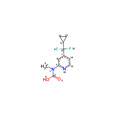 CN(C(=O)O)c1cc(C(F)(F)C2CC2)ccn1